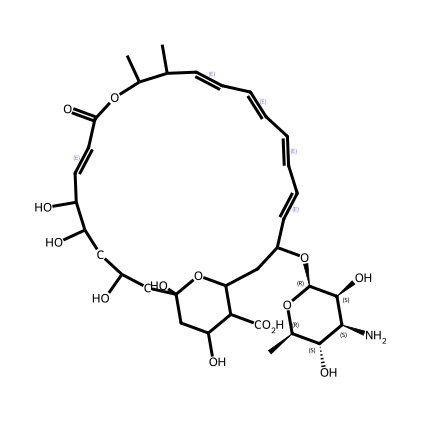 CC1/C=C/C=C/C=C/C=C/C(O[C@@H]2O[C@H](C)[C@@H](O)[C@H](N)[C@@H]2O)CC2OC(O)(CC(O)CC(O)C(O)/C=C/C(=O)OC1C)CC(O)C2C(=O)O